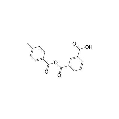 Cc1ccc(C(=O)OC(=O)c2cccc(C(=O)O)c2)cc1